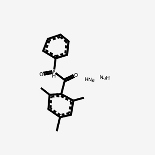 Cc1cc(C)c(C(=O)[PH](=O)c2ccccc2)c(C)c1.[NaH].[NaH]